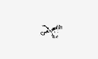 [CH2]CS(C)(=N)=O